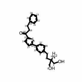 NC(CO)(CO)CCc1ccc(-c2ccc(C(=O)CCc3ccccc3)s2)cc1